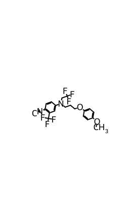 [C-]#[N+]c1ccc(N(CCCOc2ccc(OC)cc2)CC(F)(F)F)cc1C(F)(F)F